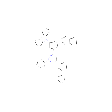 c1ccc(-c2cccc(-c3cc(-c4cc(-c5ccc6ccccc6c5)cc(-n5c6ccccc6c6ccccc65)c4)nc(-c4ccccc4)n3)c2)cc1